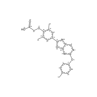 Cc1ccc(Oc2ncc3nc(-c4cc(C)c(OCC(=O)O)c(C)c4)oc3n2)cc1